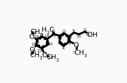 C=C(c1ccc(OC)c(CCCO)c1)c1cc(OC)c(OC)c(OC)c1